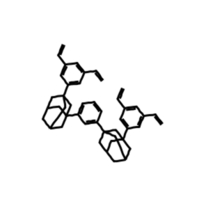 C=Cc1cc(C=C)cc(C23CC4CC(C2)CC(c2cccc(C56CC7CC(CC(c8cc(C=C)cc(C=C)c8)(C7)C5)C6)c2)(C4)C3)c1